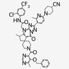 Cc1nc(N2CCC(C#N)CC2)ccc1-c1nc2n(CC(=O)Nc3ccc(C(F)(F)F)cc3Cl)c3c(c(=O)n2n1)C1(CCN(C(=O)c2ncnc(C)c2OCc2ccccc2)CC1)CC3C